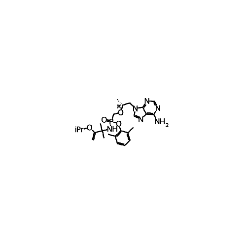 C=C(OC(C)C)C(C)(C)NP(=O)(CO[C@H](C)Cn1cnc2c(N)ncnc21)Oc1c(C)cccc1C